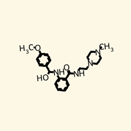 COc1ccc(C(O)Nc2ccccc2C(=O)NCCN2CCN(C)CC2)cc1